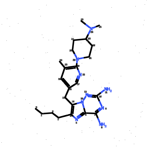 CCCCc1nc2c(N)nc(N)nn2c1Cc1cnc(N2CCC(N(C)C)CC2)c(C)c1